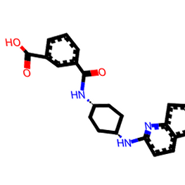 O=C(O)c1cccc(C(=O)N[C@H]2CC[C@@H](Nc3ccc4ccccc4n3)CC2)c1